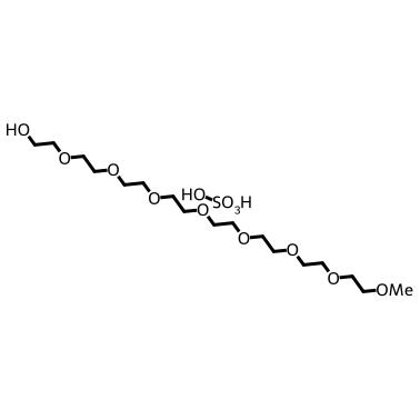 COCCOCCOCCOCCOCCOCCOCCOCCO.O=S(=O)(O)O